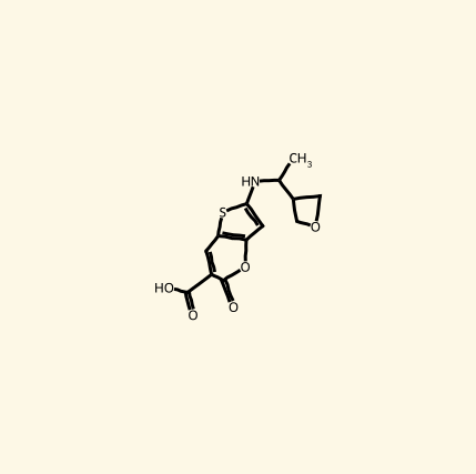 CC(Nc1cc2oc(=O)c(C(=O)O)cc2s1)C1COC1